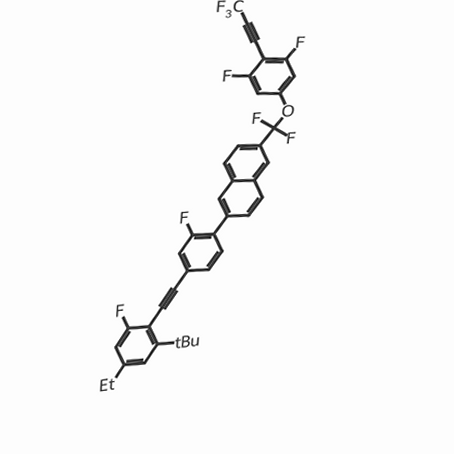 CCc1cc(F)c(C#Cc2ccc(-c3ccc4cc(C(F)(F)Oc5cc(F)c(C#CC(F)(F)F)c(F)c5)ccc4c3)c(F)c2)c(C(C)(C)C)c1